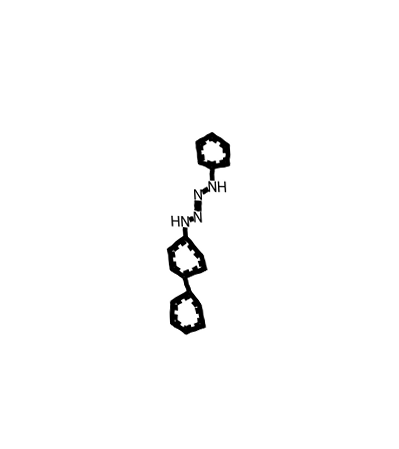 c1ccc(NN=NNc2ccc(-c3ccccc3)cc2)cc1